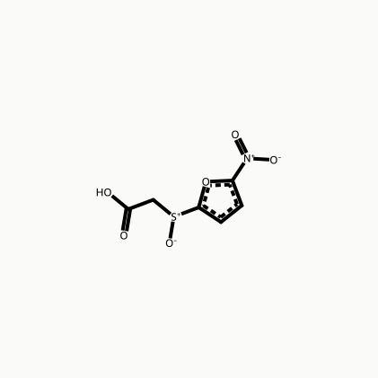 O=C(O)C[S+]([O-])c1ccc([N+](=O)[O-])o1